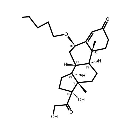 CCCCCO[C@@H]1C[C@@H]2[C@H](CC[C@@]3(C)[C@H]2CC[C@]3(O)C(=O)CO)[C@@]2(C)CCC(=O)C=C12